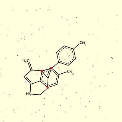 C=C1/C=C(\c2ccc(C)cc2)NCCC2=C(c3ccc(C)cc3)C12